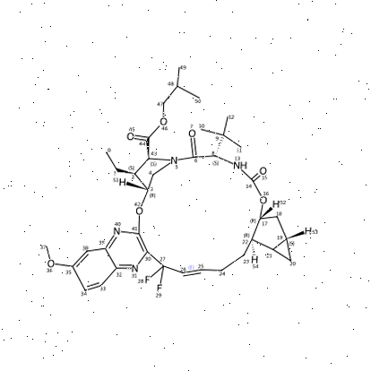 CC[C@@H]1[C@@H]2CN(C(=O)[C@H](C(C)(C)C)NC(=O)O[C@@H]3C[C@@H]4CC4[C@H]3CC/C=C/C(F)(F)c3nc4ccc(OC)cc4nc3O2)[C@@H]1C(=O)OCC(C)C